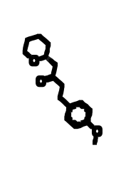 COc1ccc(CCC(=O)C[C@@H]2CCCCO2)cc1